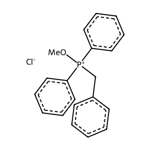 CO[P+](Cc1ccccc1)(c1ccccc1)c1ccccc1.[Cl-]